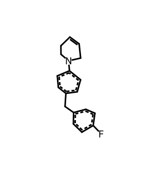 Fc1ccc(Cc2ccc(N3CC=CCC3)cc2)cc1